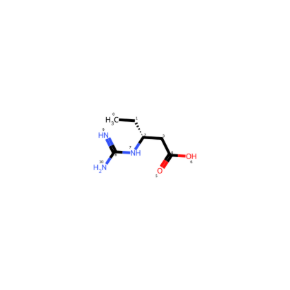 CC[C@H](CC(=O)O)NC(=N)N